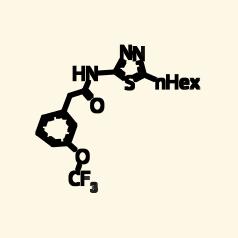 C[CH]CCCCc1nnc(NC(=O)Cc2cccc(OC(F)(F)F)c2)s1